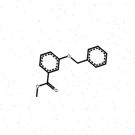 COC(=O)c1cccc(OCc2ccccc2)c1